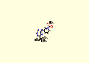 CCC[CH2][Sn]([CH2]CCC)([CH2]CCC)[c]1cncc(NC2CCCN(C(=O)OC(C)(C)C)C2)n1